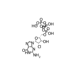 Nc1nc2c(ncn2[C@@H]2O[C@H](COP(=O)(O)OP(=O)(O)OP(=O)(O)OO)C(O)[C@@H]2Cl)c(=O)[nH]1